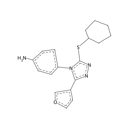 Nc1ccc(-n2c(SC3CCCCC3)nnc2-c2ccoc2)cc1